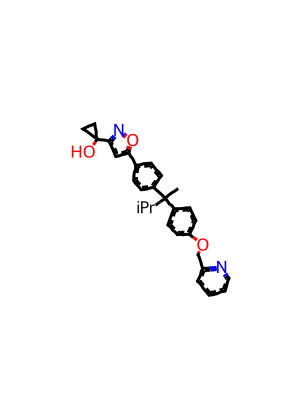 CC(C)C(C)(c1ccc(OCc2ccccn2)cc1)c1ccc(-c2cc(C3(O)CC3)no2)cc1